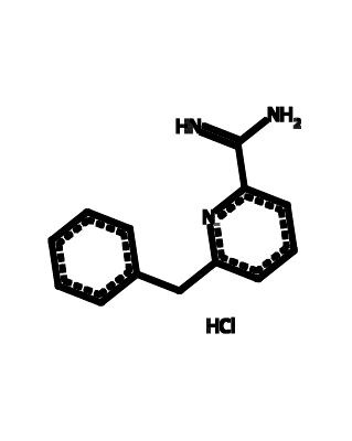 Cl.N=C(N)c1cccc(Cc2ccccc2)n1